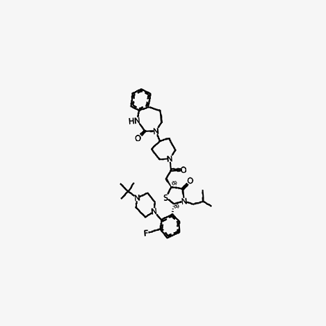 CC(C)CN1C(=O)[C@H](CC(=O)N2CCC(N3CCc4ccccc4NC3=O)CC2)S[C@H]1c1cccc(F)c1N1CCN(C(C)(C)C)CC1